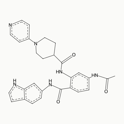 CC(=O)Nc1ccc(C(=O)Nc2ccc3cc[nH]c3c2)c(NC(=O)C2CCN(c3ccncc3)CC2)c1